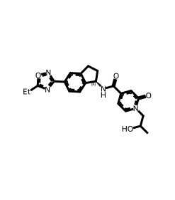 CCc1nc(-c2ccc3c(c2)CC[C@H]3NC(=O)c2ccn(CC(C)O)c(=O)c2)no1